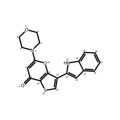 O=c1cc(N2CCOCC2)oc2c(-c3cc4ccccc4[nH]3)csc12